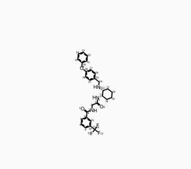 O=C(CNC(=O)c1cccc(C(F)(F)F)c1)N[C@H]1CCCC[C@H]1NCc1ccc(Oc2ccccc2)cc1